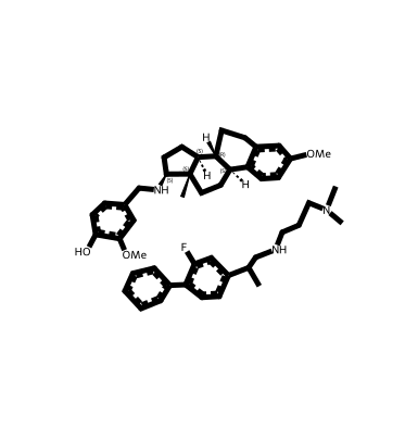 CC(CNCCCN(C)C)c1ccc(-c2ccccc2)c(F)c1.COc1ccc2c(c1)CC[C@@H]1[C@@H]2CC[C@]2(C)[C@@H](NCc3ccc(O)c(OC)c3)CC[C@@H]12